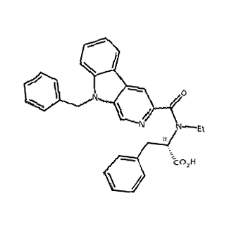 CCN(C(=O)c1cc2c3ccccc3n(Cc3ccccc3)c2cn1)[C@@H](Cc1ccccc1)C(=O)O